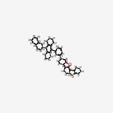 c1cc(-c2ccc3c(c2)oc2c3ccc3sc4ccccc4c32)cc(-c2c3ccccc3c(-c3ccc4ccccc4c3)c3ccccc23)c1